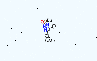 CCCC[S+]([O-])c1nc2nc(-c3ccc(OC)cc3)cc(-c3ccccc3)n2n1